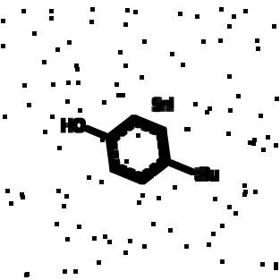 CC(C)(C)c1ccc(O)cc1.[Sn]